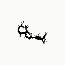 CN1C(=O)CCCc2ccc(C#CC3COC3)nc21